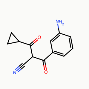 N#CC(C(=O)c1cccc(N)c1)C(=O)C1CC1